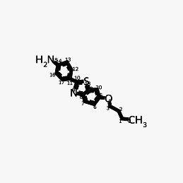 CCCCOc1ccc2nc(-c3ccc(N)cc3)sc2c1